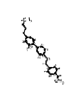 CCCCc1ccc(-c2ccc(CCc3ccc(CC)cc3)cc2)c(F)c1